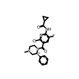 CN1CCN(C(=O)c2cc(F)c(NC(=O)C3CC3)nc2Cl)[C@@H](c2ccccc2)C1